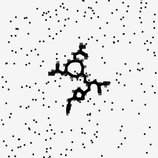 N#CSc1ccc(CN(CCN2CCN(CC(=O)O)CCN(CC(=O)O)CC2)CC(=O)O)cc1